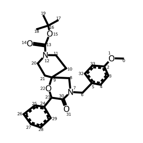 COc1ccc(CN2CC3(CCN(C(=O)OC(C)(C)C)CC3)OC(c3ccccc3)C2=O)cc1